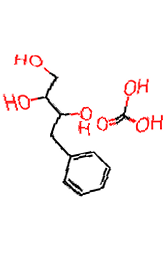 O=C(O)O.OCC(O)C(O)Cc1ccccc1